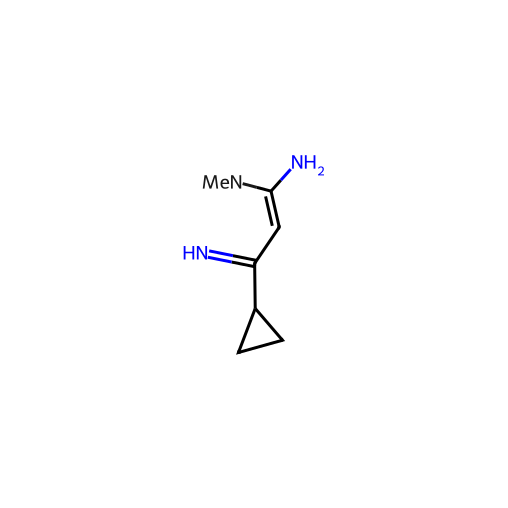 CN/C(N)=C\C(=N)C1CC1